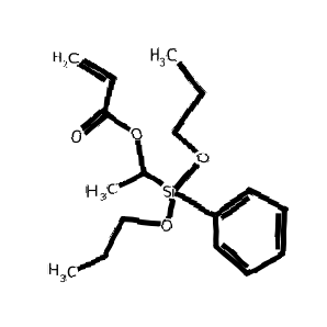 C=CC(=O)OC(C)[Si](OCCC)(OCCC)c1ccccc1